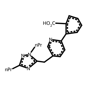 CCCc1nc(Cc2ccc(-c3ccccc3C(=O)O)nc2)n(CCC)n1